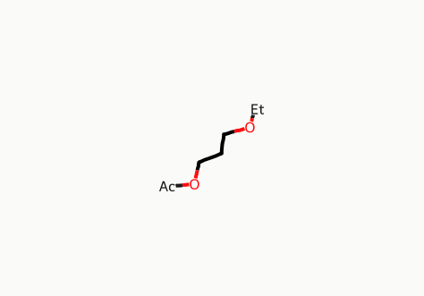 CCOCCCOC(C)=O